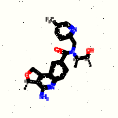 C[C@@H]1OCc2c1c(N)nc1ccc(C(=O)N(Cc3ccc(C(F)(F)F)cn3)[C@H](C)[C@@H](C)O)cc21